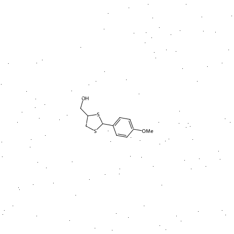 COc1ccc(C2SCC(CO)S2)cc1